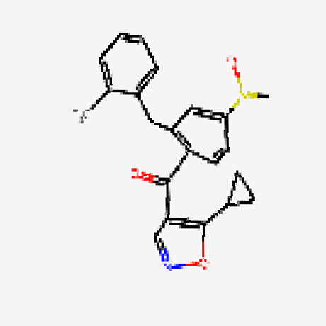 C[S+]([O-])c1ccc(C(=O)c2cnoc2C2CC2)c(Cc2ccccc2C(F)(F)F)c1